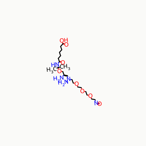 CC(C)(NC(=O)CCCCCC(=O)O)OC/C(N)=C/N(N)CCOCCOCCOCCN=O